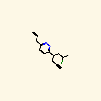 C#CCC(CC(C)F)c1ccc(CC=C)nn1